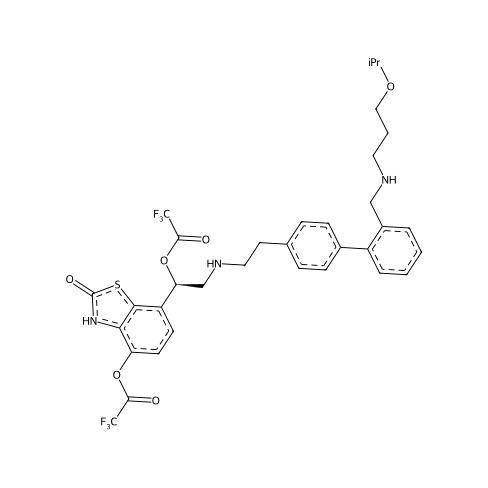 CC(C)OCCCNCc1ccccc1-c1ccc(CCNC[C@H](OC(=O)C(F)(F)F)c2ccc(OC(=O)C(F)(F)F)c3[nH]c(=O)sc23)cc1